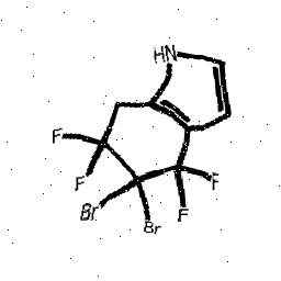 FC1(F)Cc2[nH]ccc2C(F)(F)C1(Br)Br